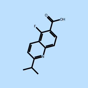 CC(C)c1ccc2c(F)c(C(=O)O)ccc2n1